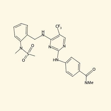 CNC(=O)c1ccc(Nc2ncc(C(F)(F)F)c(NCc3ccccc3N(C)S(C)(=O)=O)n2)cc1